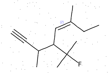 C#CC(C)C(/C=C(/C)CC)C(C)(C)F